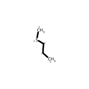 CC[C]SC